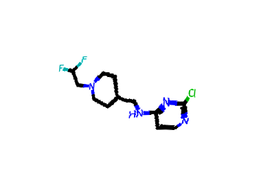 FC(F)CN1CCC(CNc2ccnc(Cl)n2)CC1